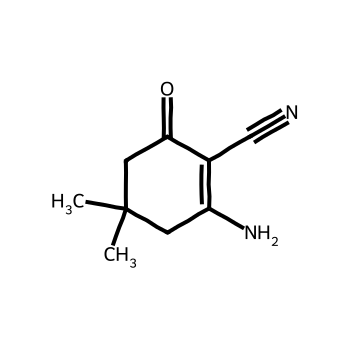 CC1(C)CC(=O)C(C#N)=C(N)C1